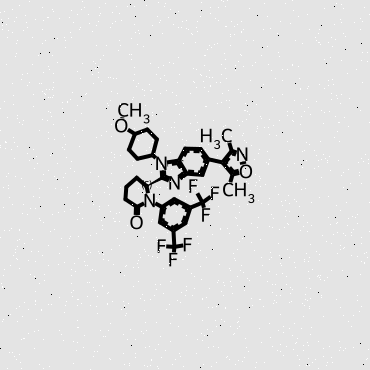 COC1CCC(n2c([C@@H]3CCCC(=O)N3c3cc(C(F)(F)F)cc(C(F)(F)F)c3)nc3cc(-c4c(C)noc4C)ccc32)CC1